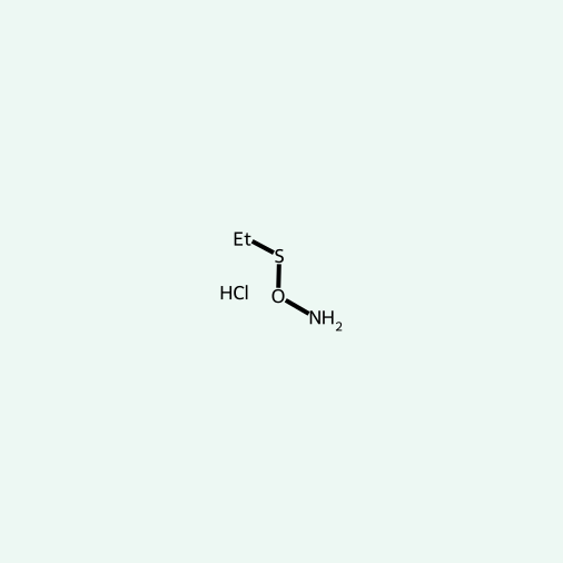 CCSON.Cl